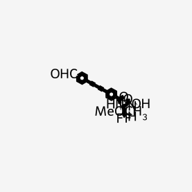 COC(C)(C(F)F)[C@H](NC(=O)c1ccc(C#CC#Cc2ccc(C=O)cc2)cc1)C(=O)NO